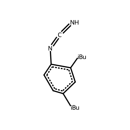 CCC(C)c1ccc(N=C=N)c(C(C)CC)c1